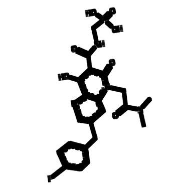 CN(C)C(=O)Cn1c(=O)c(C(=O)NCP(=O)(O)O)c(O)c2ncc(Cc3ccc(F)cc3)cc21